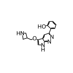 Oc1ccccc1-c1cc2c(OCC3CNC3)c[nH]c2nn1